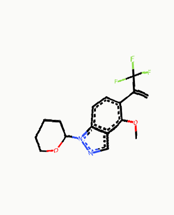 C=C(c1ccc2c(cnn2C2CCCCO2)c1OC)C(F)(F)F